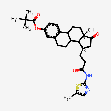 Cc1cnc(NC(=O)CC[C@@H]2CC(=O)[C@@]3(C)CCC4c5ccc(OC(=O)C(C)(C)C)cc5CCC4C23)s1